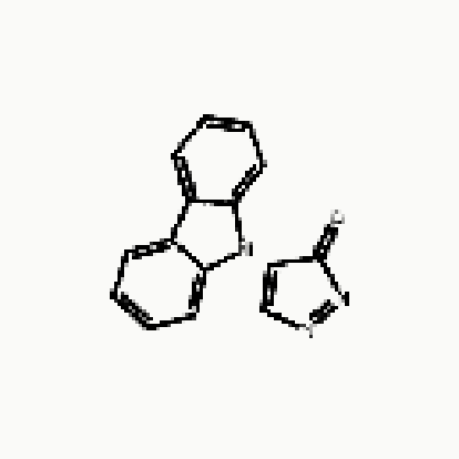 O=C1C=CN=N1.c1ccc2c(c1)[nH]c1ccccc12